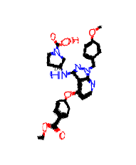 CCOC(=O)c1ccc(Oc2ccnc3c2c(N[C@@H]2CCN(C(=O)O)C2)nn3Cc2ccc(OC)cc2)cc1